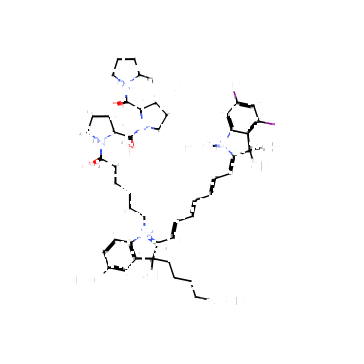 Cc1ccc2c(c1)C(C)(CCCCS(=O)(=O)O)C(/C=C/C=C/C=C/C=C1\N(C)c3cc(I)cc(I)c3C1(C)C)=[N+]2CCCCCC(=O)N1CCCC1C(=O)N1CCCC1C(=O)N1CCCC1C(=O)O